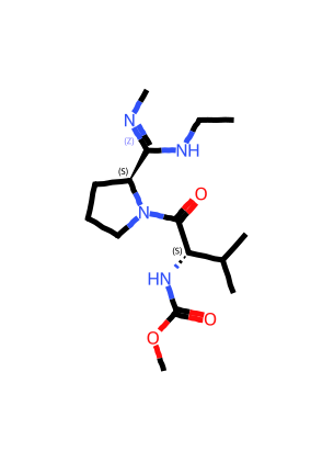 CCN/C(=N\C)[C@@H]1CCCN1C(=O)[C@@H](NC(=O)OC)C(C)C